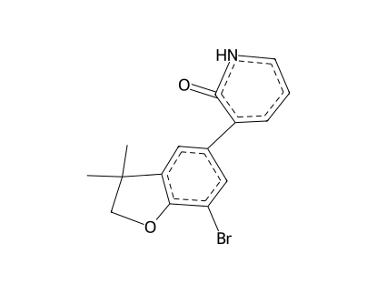 CC1(C)COc2c(Br)cc(-c3ccc[nH]c3=O)cc21